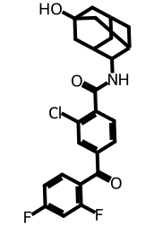 O=C(c1ccc(C(=O)NC2C3CC4CC2CC(O)(C4)C3)c(Cl)c1)c1ccc(F)cc1F